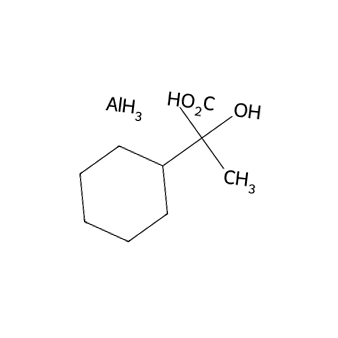 CC(O)(C(=O)O)C1CCCCC1.[AlH3]